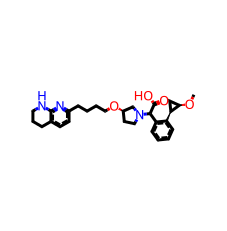 CO[C@@H]1C[C@@H]1c1ccccc1C(C(=O)O)N1CC[C@@H](OCCCCc2ccc3c(n2)NCCC3)C1